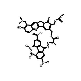 CCC(=O)OCc1c(COC(=O)[C@@H](C)ON=C2c3cc([N+](=O)[O-])cc([N+](=O)[O-])c3-c3c2cc([N+](=O)[O-])cc3[N+](=O)[O-])cc2n(c1=O)Cc1cc3c(CN(C)C)c(O)ccc3nc1-2